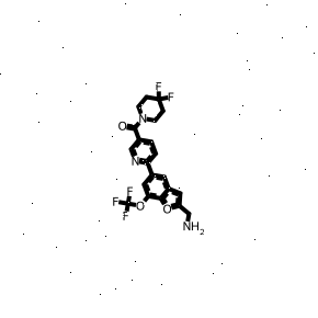 NCc1cc2cc(-c3ccc(C(=O)N4CCC(F)(F)CC4)cn3)cc(OC(F)(F)F)c2o1